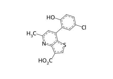 Cc1cc(-c2cc(Cl)ccc2O)c2scc(C(=O)O)c2n1